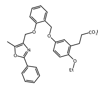 CCOc1ccc(OCc2ccccc2OCc2nc(-c3ccccc3)oc2C)cc1CCC(=O)O